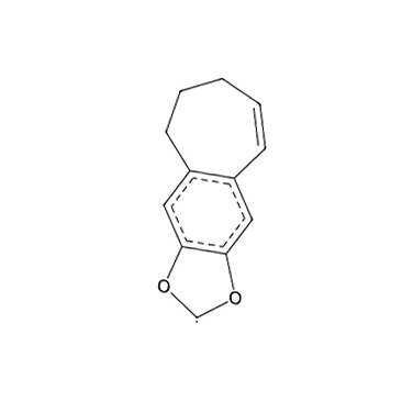 [CH]1Oc2cc3c(cc2O1)CCCC=C3